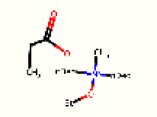 CCC(=O)[O-].CCCCCCCCCC[N+](C)(CCCCCCCCCC)OCC